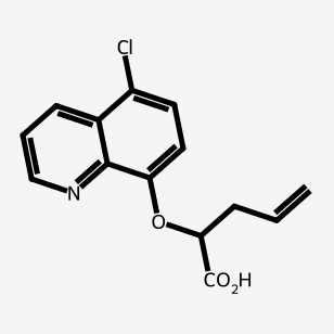 C=CCC(Oc1ccc(Cl)c2cccnc12)C(=O)O